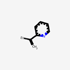 [CH2]CC(=C)c1ccccn1